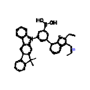 C=Cc1sc2c(-c3cc(B(O)O)cc(-n4c5ccccc5c5cc6c(cc54)C(C)(C)c4ccccc4-6)c3)cccc2c1/C=C\C